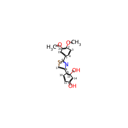 COc1ccc(-c2nc(-c3ccc(O)cc3O)cs2)cc1OC